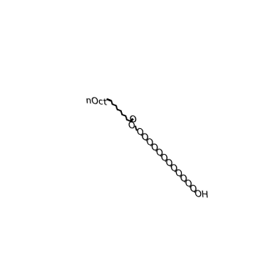 CCCCCCCC/C=C\CCCCCCCC(=O)OCCOCOCOCOCOCOCOCOCOCOCOCOCO